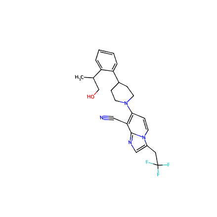 CC(CO)c1ccccc1C1CCN(c2ccn3c(CC(F)(F)F)cnc3c2C#N)CC1